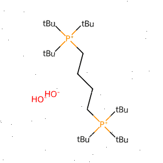 CC(C)(C)[P+](CCCC[P+](C(C)(C)C)(C(C)(C)C)C(C)(C)C)(C(C)(C)C)C(C)(C)C.[OH-].[OH-]